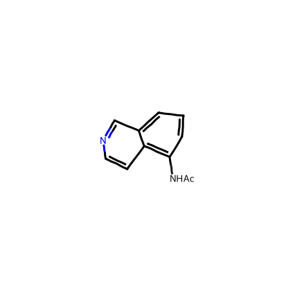 CC(=O)Nc1cccc2cnccc12